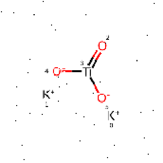 [K+].[K+].[O]=[Ti]([O-])[O-]